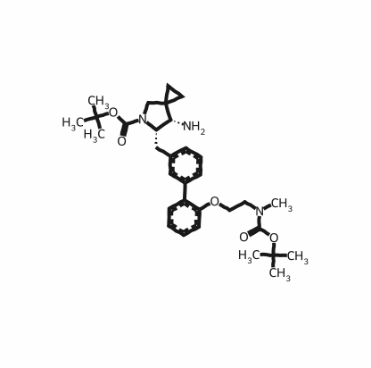 CN(CCOc1ccccc1-c1cccc(C[C@H]2[C@@H](N)C3(CC3)CN2C(=O)OC(C)(C)C)c1)C(=O)OC(C)(C)C